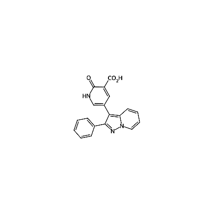 O=C(O)c1cc(-c2c(-c3ccccc3)nn3ccccc23)c[nH]c1=O